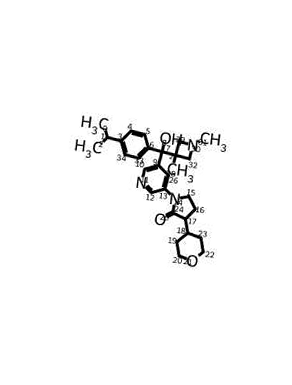 CC(C)c1ccc(C(O)(c2cncc(N3CCC(C4CCOCC4)C3=O)c2)C2(C)CN(C)C2)cc1